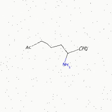 CC(=O)CCCC(N)C=O